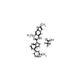 COc1cc2nc(C)cn2cc1NC(=O)N1CCc2c(N3CCN[C@H](C)C3)ccnc21.O=C(O)C(F)(F)F